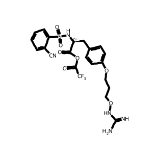 N#Cc1ccccc1S(=O)(=O)N[C@@H](Cc1ccc(OCCCONC(=N)N)cc1)C(=O)OC(=O)C(F)(F)F